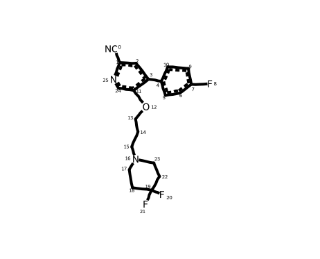 N#Cc1cc(-c2ccc(F)cc2)c(OCCCN2CCC(F)(F)CC2)cn1